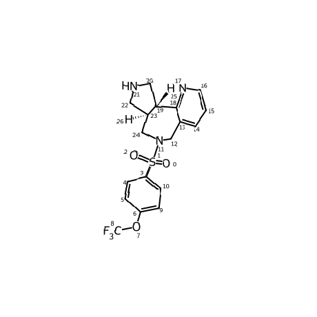 O=S(=O)(c1ccc(OC(F)(F)F)cc1)N1Cc2cccnc2[C@H]2CNC[C@@H]2C1